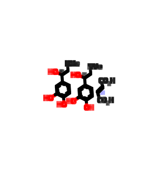 CNC[C@H](O)c1ccc(O)c(O)c1.CNC[C@H](O)c1ccc(O)c(O)c1.O=C(O)/C=C/C(=O)O